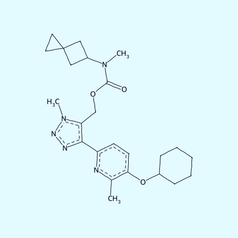 Cc1nc(-c2nnn(C)c2COC(=O)N(C)C2CC3(CC3)C2)ccc1OC1CCCCC1